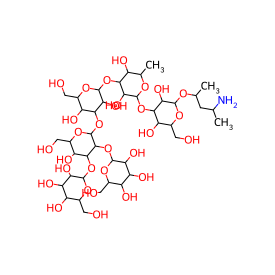 CC(N)CC(C)OC1OC(CO)C(O)C(OC2OC(C)C(O)C(OC3OC(CO)C(O)C(OC4OC(CO)C(O)C(OC5OC(CO)C(O)C(O)C5O)C4OC4OC(CO)C(O)C(O)C4O)C3O)C2O)C1O